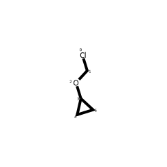 ClCOC1CC1